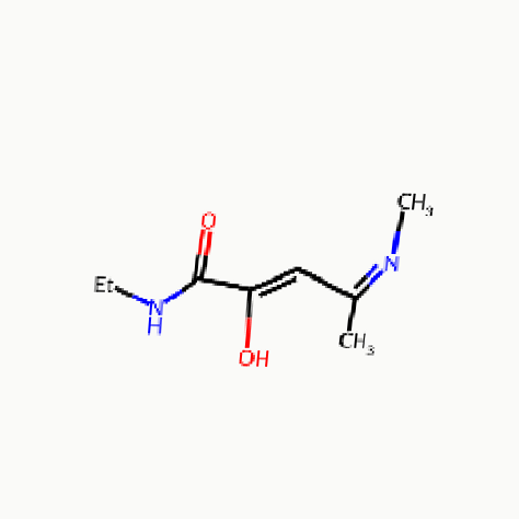 CCNC(=O)/C(O)=C/C(C)=N\C